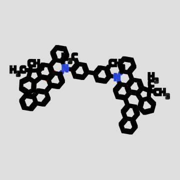 Cc1cc(-c2ccc(N(c3ccc(-c4ccc5ccccc5c4)cc3)c3ccccc3-c3ccc4c(c3)C(C)(C)c3ccccc3-4)c(C)c2)ccc1N(c1ccc(-c2ccc3ccccc3c2)cc1)c1ccccc1-c1ccc2c(c1)C(C)(C)c1ccccc1-2